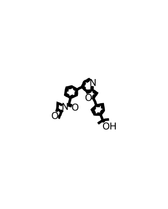 CC(C)(O)c1ccc(-c2cc3nccc(-c4cccc(C(=O)N5CC6OCC65)c4)c3o2)cc1